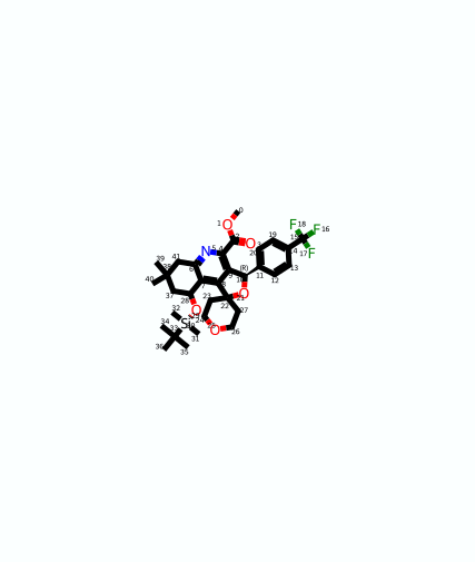 COC(=O)c1nc2c(c3c1[C@@H](c1ccc(C(F)(F)F)cc1)OC31CCOCC1)C(O[Si](C)(C)C(C)(C)C)CC(C)(C)C2